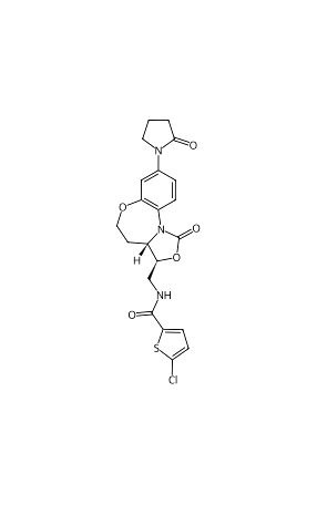 O=C(NC[C@@H]1OC(=O)N2c3ccc(N4CCCC4=O)cc3OCC[C@@H]12)c1ccc(Cl)s1